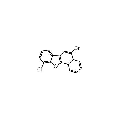 Clc1cccc2c3c(oc12)C1C=CC=CC1C(Br)=C3